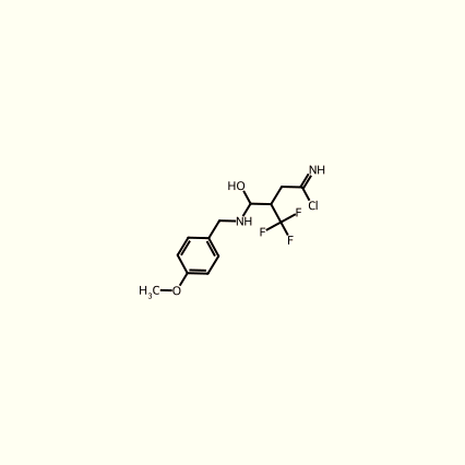 COc1ccc(CNC(O)C(CC(=N)Cl)C(F)(F)F)cc1